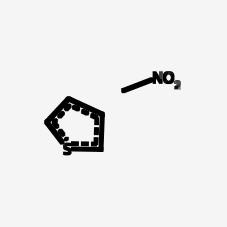 C[N+](=O)[O-].c1ccsc1